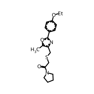 CCOc1ccc(-c2nc(CSCC(=O)N3CCCC3)c(C)o2)cc1